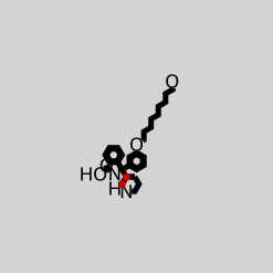 O=CCCCCCCCCOc1cccc(C(NC(=O)O)(c2ccccc2)C2CN3CCC2CC3)c1